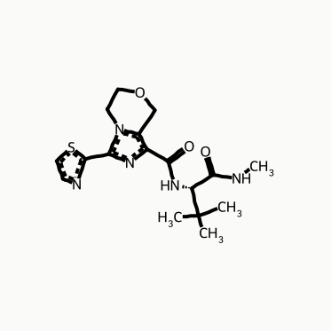 CNC(=O)[C@@H](NC(=O)c1nc(-c2nccs2)n2c1COCC2)C(C)(C)C